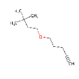 C#CCCCOCCC(C)(C)C